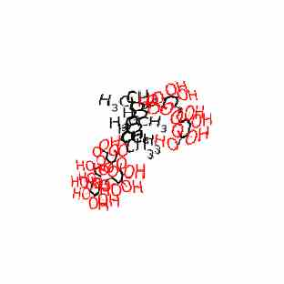 CC1(C)CC[C@]2(C(=O)O[C@@H]3O[C@H](CO[C@@H]4O[C@H](CO)[C@@H](O)[C@H](O)[C@H]4O)[C@@H](O)[C@H](O)[C@H]3O)CC[C@]3(C)C(=CC[C@@H]4[C@@]5(C)CC[C@H](O[C@@H]6O[C@H](C(=O)O)[C@@H](O[C@@H]7O[C@@H](CO)[C@H](O)[C@H]7O)[C@H](O)[C@H]6O[C@@H]6O[C@H](CO[C@@H]7O[C@H](CO)[C@@H](O)[C@H](O)[C@H]7O)[C@@H](O)[C@H](O)[C@H]6O)C(C)(C)[C@@H]5CC[C@]43C)[C@@H]2C1